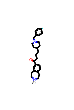 CC(=O)N1CCc2ccc(C(=O)CCCC3CCN(Cc4ccc(F)cc4)CC3)cc2CC1